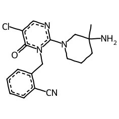 CC1(N)CCCN(c2ncc(Cl)c(=O)n2Cc2ccccc2C#N)C1